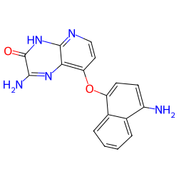 Nc1nc2c(Oc3ccc(N)c4ccccc34)ccnc2[nH]c1=O